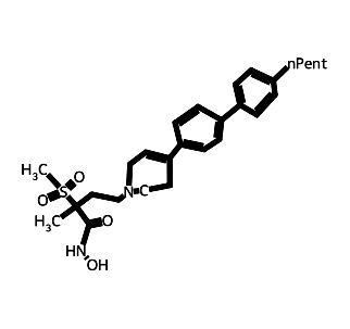 CCCCCc1ccc(-c2ccc(C3=CCN(CCC(C)(C(=O)NO)S(C)(=O)=O)CC3)cc2)cc1